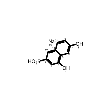 O=S(=O)(O)c1cc(O)c2cc(O)ccc2c1.[Na]